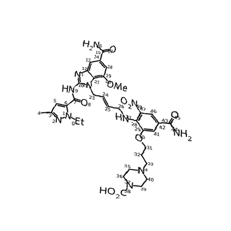 CCn1nc(C)cc1C(=O)Nc1nc2cc(C(N)=O)cc(OC)c2n1CC=CCNc1c(OCCCN2CCN(C(=O)O)CC2)cc(C(N)=O)cc1[N+](=O)[O-]